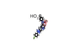 CC(C)(C)c1nn(-c2ccc(F)cc2)cc1CN1CCC2(CC1)CN(c1ccc(C(=O)O)cc1)C(=O)O2